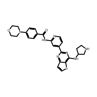 O=C(Nc1cc(-c2nc(NC3CCNC3)c3sccc3n2)ccn1)c1ccc(N2CCOCC2)cc1